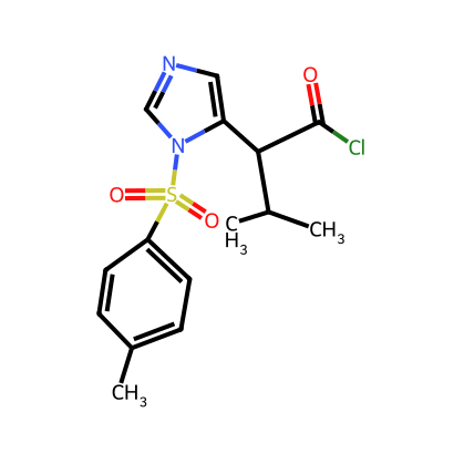 Cc1ccc(S(=O)(=O)n2cncc2C(C(=O)Cl)C(C)C)cc1